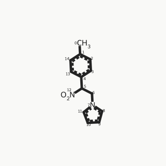 Cc1ccc(C(Cn2cccc2)[N+](=O)[O-])cc1